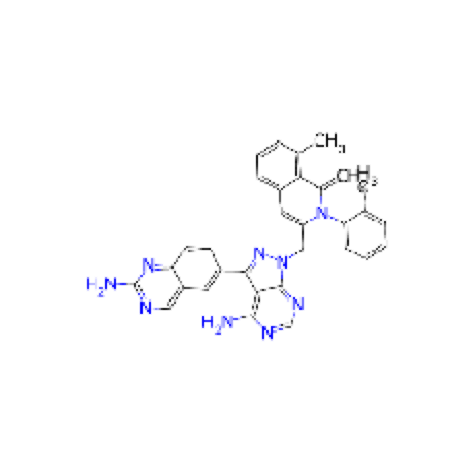 C=C1c2c(C)cccc2C=C(Cn2nc(-c3ccc4nc(N)ncc4c3)c3c(N)ncnc32)N1c1ccccc1C